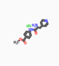 COC(=O)c1ccc(NC(=O)[C@@H](N)Cc2ccncc2)cc1.Cl